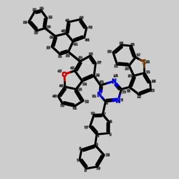 c1ccc(-c2ccc(-c3nc(-c4cccc5sc6ccccc6c45)nc(-c4ccc(-c5ccc(-c6ccccc6)c6ccccc56)c5oc6ccccc6c45)n3)cc2)cc1